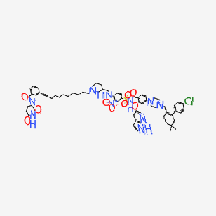 CC1(C)CCC(CN2CCN(c3ccc(C(=O)NS(=O)(=O)c4ccc(NCC5CCCN(CCCCCCCCCC#Cc6cccc7c6CN(C6CCC(=O)NC6=O)C7=O)C5)c([N+](=O)[O-])c4)c(Oc4cnc5[nH]ccc5c4)c3)CC2)=C(c2ccc(Cl)cc2)C1